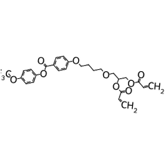 C=CC(=O)OCC(COCCCCOc1ccc(C(=O)Oc2ccc(OC(F)(F)F)cc2)cc1)OC(=O)C=C